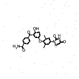 Cc1cc(-n2ncc(=O)[nH]c2=O)cc(C)c1Oc1ccc(O)c(C(=O)c2ccc(C(N)=O)cc2)c1